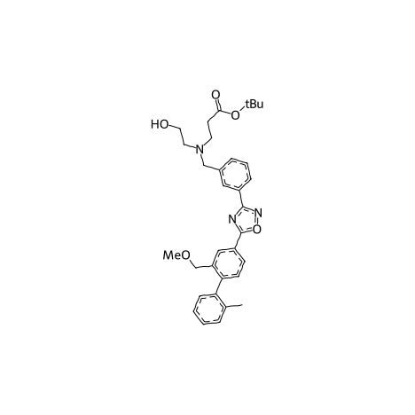 COCc1cc(-c2nc(-c3cccc(CN(CCO)CCC(=O)OC(C)(C)C)c3)no2)ccc1-c1ccccc1C